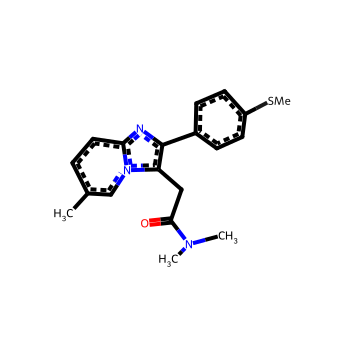 CSc1ccc(-c2nc3ccc(C)cn3c2CC(=O)N(C)C)cc1